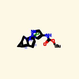 CC(C)(C)OC(=O)Nc1cnn(CC2=C3/CC3C/N=C(Cl)/C=C\2)c1